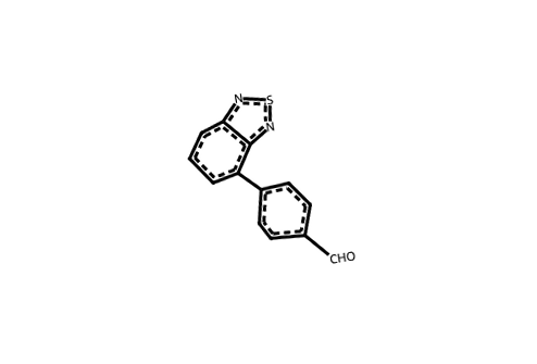 O=Cc1ccc(-c2cccc3nsnc23)cc1